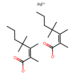 CCCC(C)(C)C(C)=C(C)C(=O)[O-].CCCC(C)(C)C(C)=C(C)C(=O)[O-].[Pd+2]